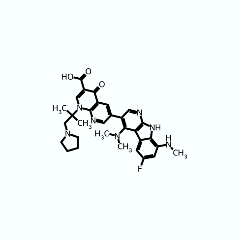 CNc1cc(F)cc2c1[nH]c1ncc(-c3cnc4c(c3)c(=O)c(C(=O)O)cn4C(C)(C)CN3CCCC3)c(N(C)C)c12